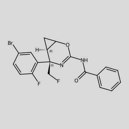 O=C(NC1=N[C@](CF)(c2cc(Br)ccc2F)[C@H]2CC2O1)c1ccccc1